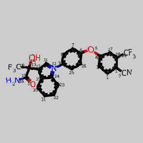 N#Cc1ccc(Oc2ccc(-n3cc(C(O)(C(N)=O)C(F)(F)F)c4ccccc43)cc2)cc1C(F)(F)F